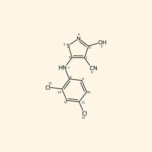 N#Cc1c(O)nsc1Nc1ccc(Cl)cc1Cl